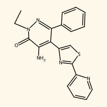 CCn1nc(-c2ccccc2)c(-c2csc(-c3ccccn3)n2)c(N)c1=O